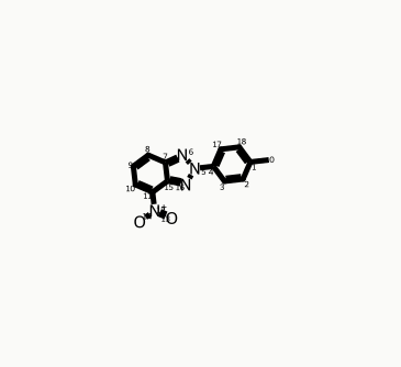 Cc1ccc(-n2nc3cccc([N+](=O)[O-])c3n2)cc1